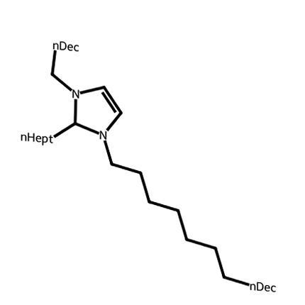 CCCCCCCCCCCCCCCCCN1C=CN(CCCCCCCCCCC)C1CCCCCCC